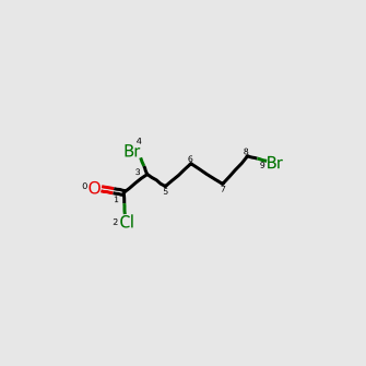 O=C(Cl)C(Br)CCCCBr